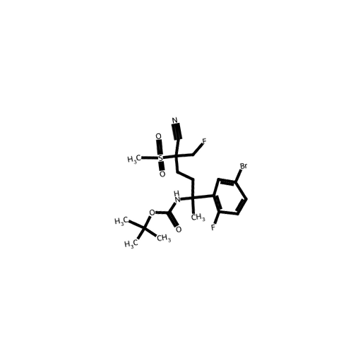 CC(C)(C)OC(=O)NC(C)(CCC(C#N)(CF)S(C)(=O)=O)c1cc(Br)ccc1F